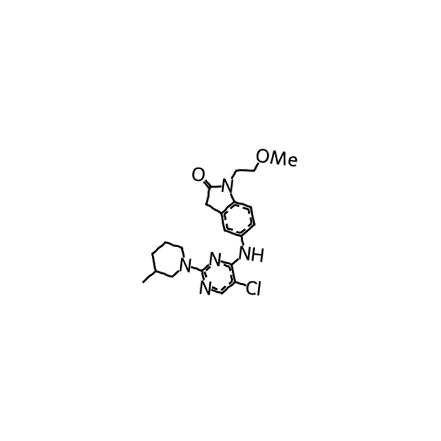 COCCN1C(=O)Cc2cc(Nc3nc(N4CCCC(C)C4)ncc3Cl)ccc21